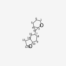 C1COC2C(C1)C2C1CCC2OCCC2C1